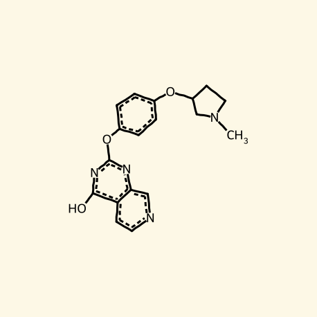 CN1CCC(Oc2ccc(Oc3nc(O)c4ccncc4n3)cc2)C1